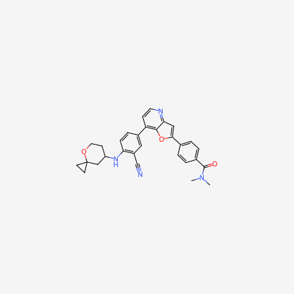 CN(C)C(=O)c1ccc(-c2cc3nccc(-c4ccc(NC5CCOC6(CC6)C5)c(C#N)c4)c3o2)cc1